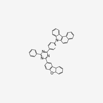 C=C(/C=C\C(=C/C)c1nc(-c2ccccc2)nc(-c2ccc3c(c2)C2C=CC=CC2O3)n1)n1c2ccccc2c2c3ccccc3ccc21